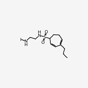 CCCC1=CCCC(S(=O)(=O)NCCNI)C=C1